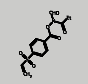 C=CS(=O)(=O)c1ccc(C(=O)ON(C=O)C(=O)CC)cc1